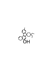 CCC1(CC)CCC2(CC1)c1cc(C)ccc1-c1c2cc(O)c2c1C=CCC2